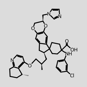 C[C@@H](COc1ccnc2c1[C@H](C)CCC2)C[C@H]1Cc2cc3c(cc2C12CCC(Nc1cccc(Cl)c1)(C(=O)O)CC2)O[C@H](Cn1ccnc1)CO3